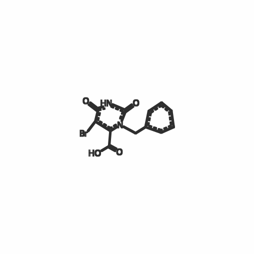 O=C(O)c1c(Br)c(=O)[nH]c(=O)n1Cc1ccccc1